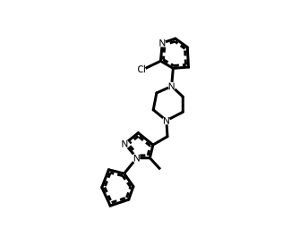 Cc1c(CN2CCN(c3cccnc3Cl)CC2)cnn1-c1ccccc1